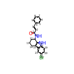 O=C(/C=C/c1ccccc1)NC1CCCc2c1[nH]c1ccc(Br)cc21